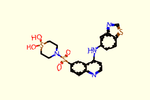 O=S(=O)(c1ccc2nccc(Nc3ccc4scnc4c3)c2c1)N1CCS(O)(O)CC1